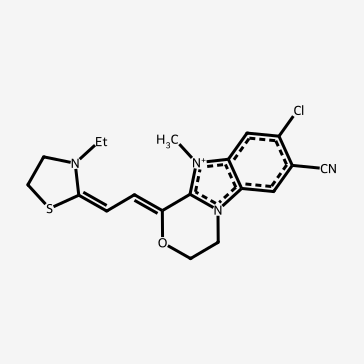 CCN1CCSC1=CC=C1OCCn2c1[n+](C)c1cc(Cl)c(C#N)cc12